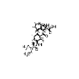 CCN(C)S(=O)(=O)Nc1ccc(F)c(C(=O)c2c(C(=O)O)[nH]c3ncccc23)c1F